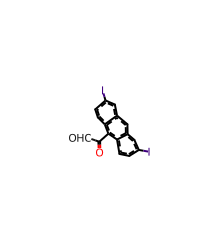 O=CC(=O)c1c2ccc(I)cc2cc2cc(I)ccc12